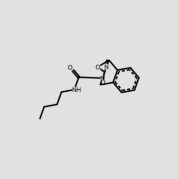 CCCCNC(=O)N1N=C2OCOC1c1ccccc12